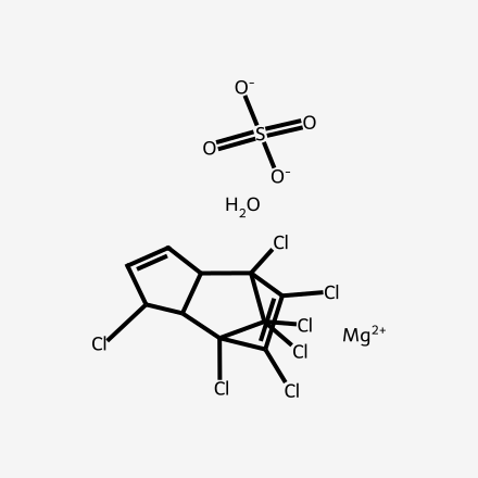 ClC1=C(Cl)C2(Cl)C3C(Cl)C=CC3C1(Cl)C2(Cl)Cl.O.O=S(=O)([O-])[O-].[Mg+2]